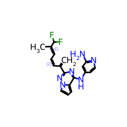 C=C(/C=C\C=C(/C)C(F)F)c1nc(Nc2ccnc(N)c2)c2cccn2n1